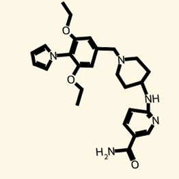 CCOc1cc(CN2CCC(Nc3ccc(C(N)=O)cn3)CC2)cc(OCC)c1-n1cccc1